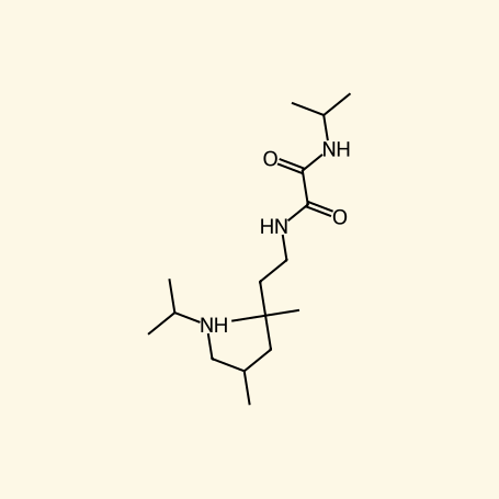 CC(CNC(C)C)CC(C)(C)CCNC(=O)C(=O)NC(C)C